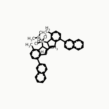 CC1=Cc2c(-c3ccc4ccccc4c3)ccc(C)c2[CH]1[Zr]([Cl])([Cl])([CH]1C(C)=Cc2c(-c3ccc4ccccc4c3)ccc(C)c21)[SiH](C)C